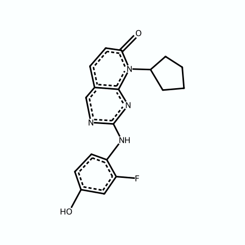 O=c1ccc2cnc(Nc3ccc(O)cc3F)nc2n1C1CCCC1